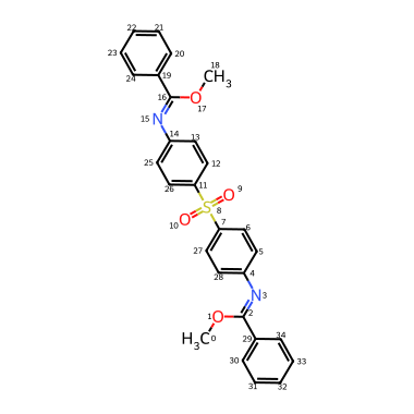 COC(=Nc1ccc(S(=O)(=O)c2ccc(N=C(OC)c3ccccc3)cc2)cc1)c1ccccc1